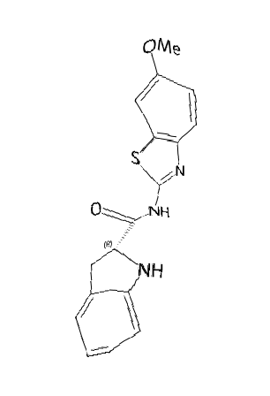 COc1ccc2nc(NC(=O)[C@H]3Cc4ccccc4N3)sc2c1